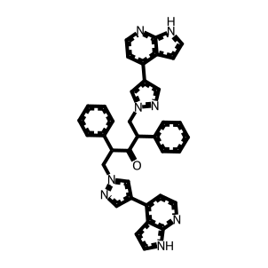 O=C(C(Cn1cc(-c2ccnc3[nH]ccc23)cn1)c1ccccc1)C(Cn1cc(-c2ccnc3[nH]ccc23)cn1)c1ccccc1